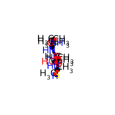 Cc1ncsc1-c1ccc([C@@H](C)NC(=O)[C@@H]2C[C@@H](O)CN2C(=O)[C@@H](NOCCCCNc2ccc(C(=O)NC3C(C)(C)CC3(C)C)cc2)C(C)(C)C)cc1